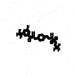 O=C(NCC1CCN(CCNS(=O)(=O)CCC(F)(F)F)CC1)c1cc(F)cc(C(F)(F)F)c1